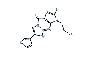 O=c1c2nc(Br)n(CCO)c2nc2[nH]c(-c3ccsc3)cn12